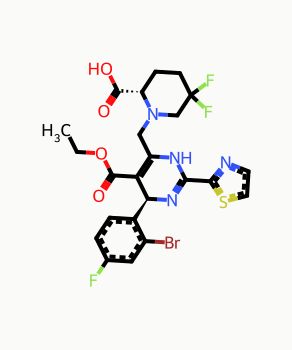 CCOC(=O)C1=C(CN2CC(F)(F)CC[C@H]2C(=O)O)NC(c2nccs2)=N[C@H]1c1ccc(F)cc1Br